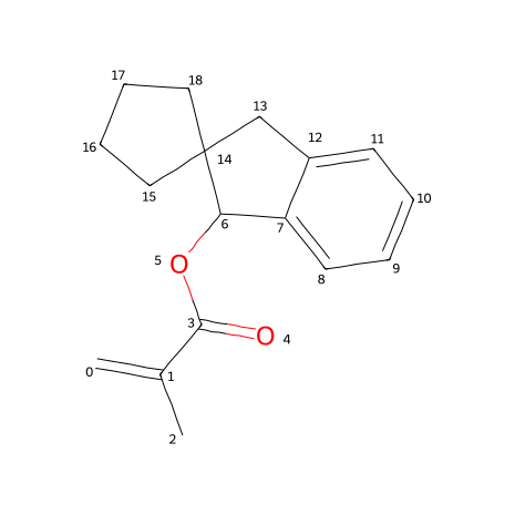 C=C(C)C(=O)OC1c2ccccc2CC12CCCC2